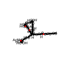 CC(=O)N[C@H]1[C@H](OCCOCCNC(=O)CCOCC(COCCC(=O)CNCCOCCO[C@H]2C[C@@H](O)[C@@H](O)[C@@H](CO)O2)(COCCC(=O)NCCOCCO[C@@H]2O[C@H](CO)[C@H](O)[C@H](O)[C@H]2NC(C)=O)NC(=O)CCOCCOCCNC(=O)CCOCCOCCOCCOCCOI)O[C@H](CO)[C@H](O)[C@@H]1O